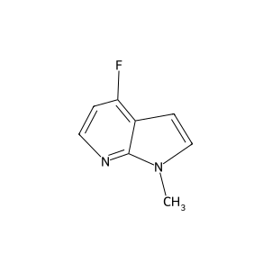 Cn1ccc2c(F)ccnc21